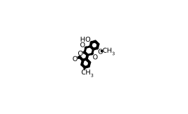 COc1ccc(O)c2c1C(=O)c1c(oc(=O)c3cc(C)ccc13)C2=O